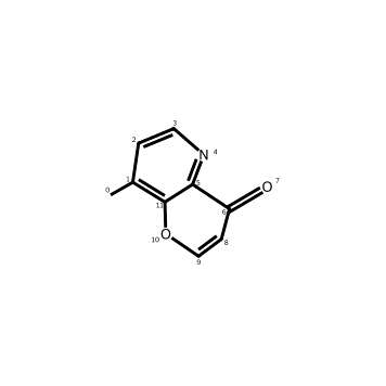 Cc1ccnc2c(=O)ccoc12